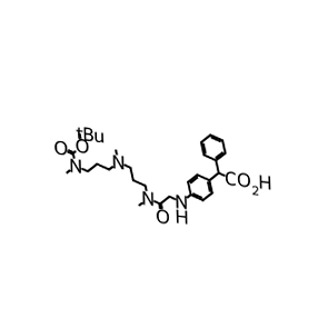 CN(CCCN(C)C(=O)CNc1ccc(C(C(=O)O)c2ccccc2)cc1)CCCN(C)C(=O)OC(C)(C)C